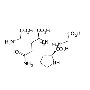 NC(=O)CC[C@H](N)C(=O)O.NCC(=O)O.NCC(=O)O.O=C(O)[C@@H]1CCCN1